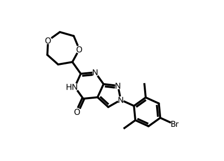 Cc1cc(Br)cc(C)c1-n1cc2c(=O)[nH]c(C3CCOCCO3)nc2n1